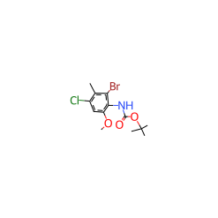 COc1cc(Cl)c(C)c(Br)c1NC(=O)OC(C)(C)C